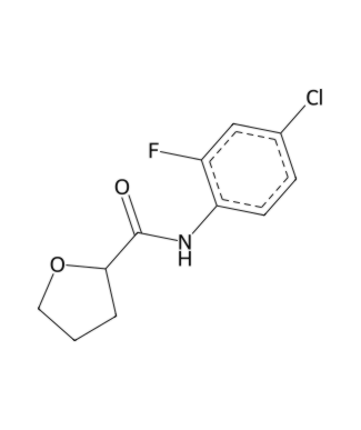 O=C(Nc1ccc(Cl)cc1F)C1CCCO1